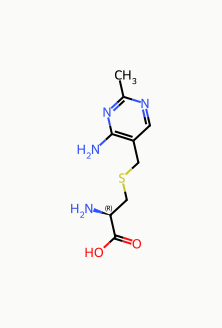 Cc1ncc(CSC[C@H](N)C(=O)O)c(N)n1